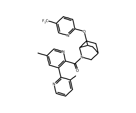 Cc1cnc(C(=O)N2CC3CCC2C(Oc2ccc(C(F)(F)F)cn2)C3)c(-c2ncccc2C)c1